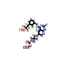 Cc1nc(NCc2cccc(C(F)(F)C(C)(C)O)c2F)c2cc(N3CC4(CN(C(=O)OC(C)(C)C)C4)C3)cnc2n1